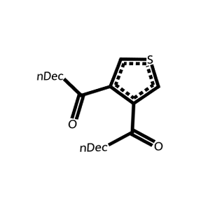 CCCCCCCCCCC(=O)c1cscc1C(=O)CCCCCCCCCC